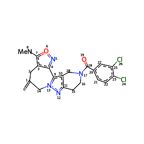 C=C1Cc2c(noc2NC)-c2c3c(nn2C1)CCN(C(=O)c1ccc(Cl)c(Cl)c1)C3